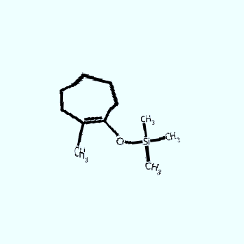 CC1=C(O[Si](C)(C)C)CCCCC1